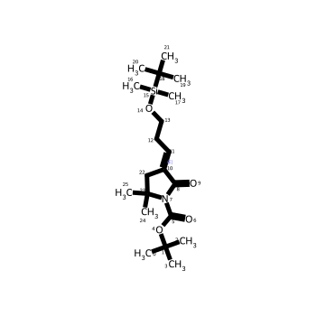 CC(C)(C)OC(=O)N1C(=O)/C(=C/CCO[Si](C)(C)C(C)(C)C)CC1(C)C